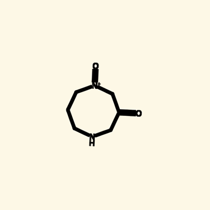 O=C1CNCCC[N+](=O)C1